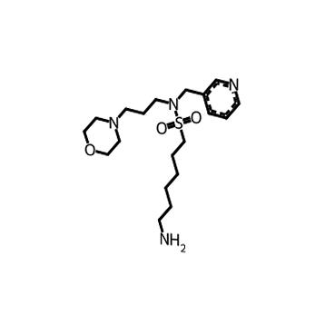 NCCCCCCS(=O)(=O)N(CCCN1CCOCC1)Cc1cccnc1